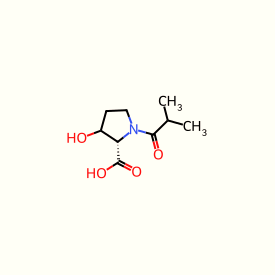 CC(C)C(=O)N1CCC(O)[C@H]1C(=O)O